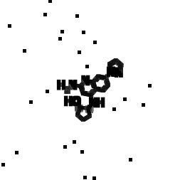 Nc1cc(N[C@H]2CCC[C@H]2O)c2ccc(-n3cccn3)cc2n1